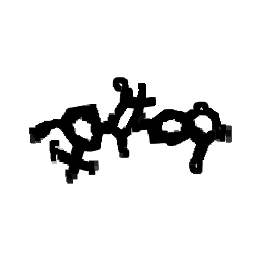 CC1(C)C(=O)N(c2ccc(C#N)c(C(F)(F)F)c2)C(=S)N1c1ccc2c(c1)OCNC2=O